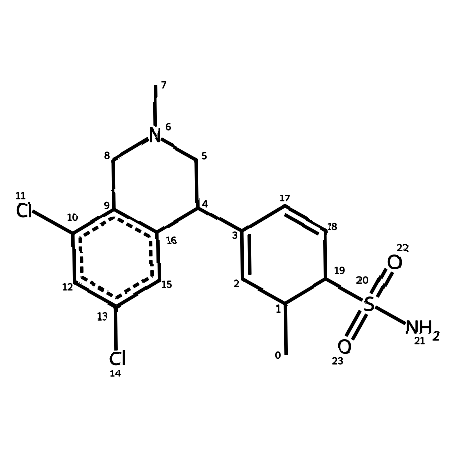 CC1C=C(C2CN(C)Cc3c(Cl)cc(Cl)cc32)C=CC1S(N)(=O)=O